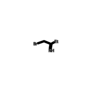 CCC(=N)CBr